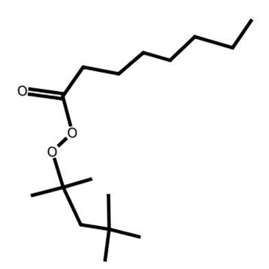 CCCCCCCC(=O)OOC(C)(C)CC(C)(C)C